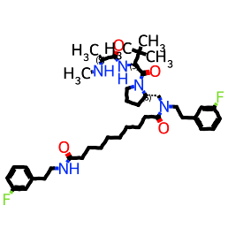 CN[C@@H](C)C(=O)N[C@H](C(=O)N1CCC[C@H]1CN(CCc1cccc(F)c1)C(=O)CCCCCCCCC(=O)NCCc1cccc(F)c1)C(C)(C)C